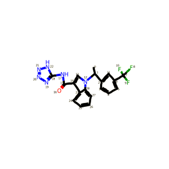 CC(c1cccc(C(F)(F)F)c1)n1cc(C(=O)Nc2nnn[nH]2)c2ccccc21